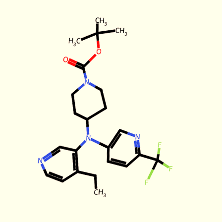 CCc1ccncc1N(c1ccc(C(F)(F)F)nc1)C1CCN(C(=O)OC(C)(C)C)CC1